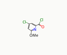 COc1cc(Cl)cc(C(=O)Cl)n1